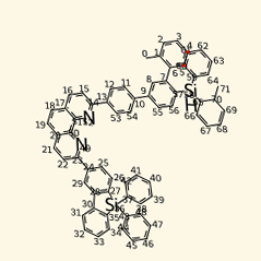 Cc1ccccc1-c1cc(-c2ccc(-c3ccc4ccc5ccc(-c6ccc7c(c6)-c6ccccc6[Si]7(c6ccccc6)c6ccccc6)nc5c4n3)cc2)ccc1[SiH](c1ccccc1)C1C=CC=CC1C